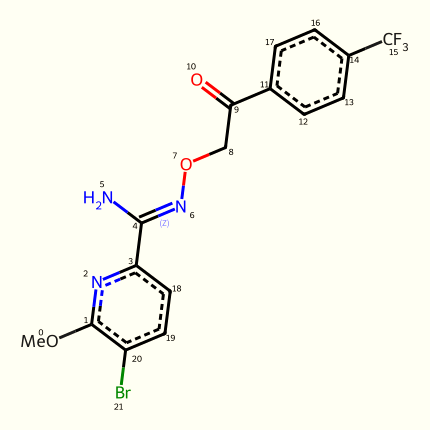 COc1nc(/C(N)=N/OCC(=O)c2ccc(C(F)(F)F)cc2)ccc1Br